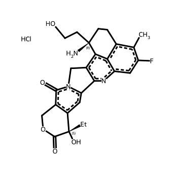 CC[C@@]1(O)C(=O)OCc2c1cc1n(c2=O)Cc2c-1nc1cc(F)c(C)c3c1c2[C@](N)(CCO)CC3.Cl